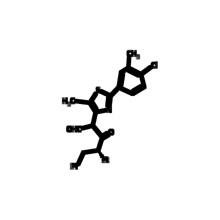 CC[C@H](CC(C)C)C(=O)C(C=O)c1nc(-c2ccc(Cl)c(C)c2)sc1C